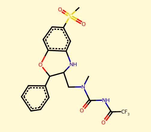 CN(CC1Nc2cc(S(C)(=O)=O)ccc2OC1c1ccccc1)C(=O)NC(=O)C(F)(F)F